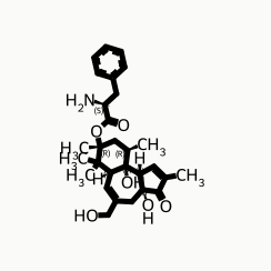 CC1=C[C@H]2[C@@]3(O)[C@H](C)C[C@@](C)(OC(=O)[C@@H](N)Cc4ccccc4)C(C)(C)[C@@H]3C=C(CO)C[C@]2(O)C1=O